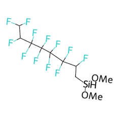 CO[SiH](CC(F)C(F)(F)C(F)(F)C(F)(F)C(F)(F)C(F)C(F)F)OC